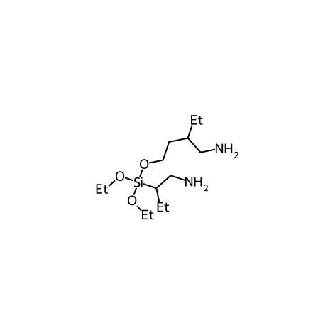 CCO[Si](OCC)(OCCC(CC)CN)C(CC)CN